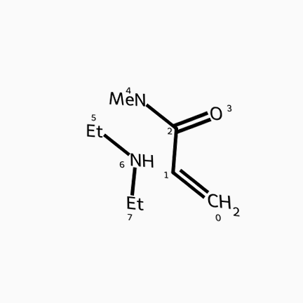 C=CC(=O)NC.CCNCC